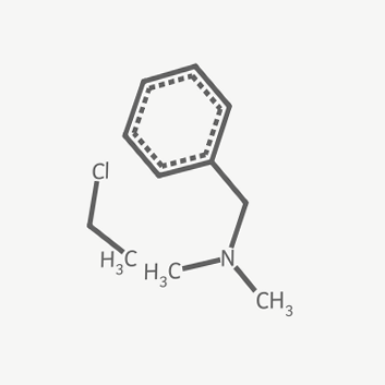 CCCl.CN(C)Cc1ccccc1